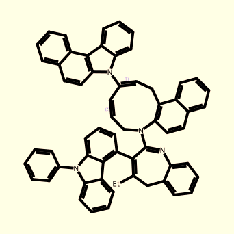 CCC1=C(c2cccc3c2c2ccccc2n3-c2ccccc2)C(N2C/C=C\C(n3c4ccccc4c4c5ccccc5ccc43)=C/Cc3c2ccc2ccccc32)=Nc2ccccc2C1